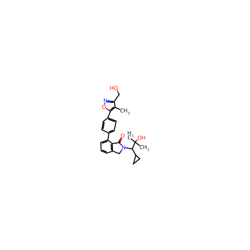 Cc1c(CO)noc1-c1ccc(-c2cccc3c2C(=O)N(C(C2CC2)C(C)(C)O)C3)cc1